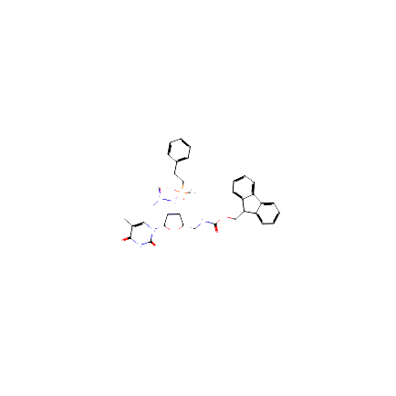 Cc1cn([C@H]2C[C@H](OP(O)(CCc3ccccc3)(NN(C)C)[N+](=O)[O-])[C@@H](CNC(=O)OCC3c4ccccc4-c4ccccc43)O2)c(=O)[nH]c1=O